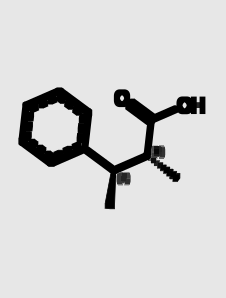 C[C@@H](C(=O)O)[C@@H](C)c1ccccc1